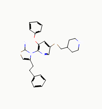 NC1SC=C(CCc2ccccc2)N1c1ncc(SCC2CCNCC2)cc1Oc1ccccc1